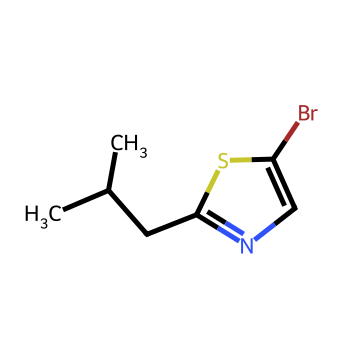 CC(C)Cc1ncc(Br)s1